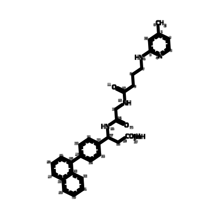 Cc1ccnc(NCCCC(=O)NCC(=O)NC(CC(=O)O)c2ccc(-c3cccc4ccccc34)cc2)c1.[NaH]